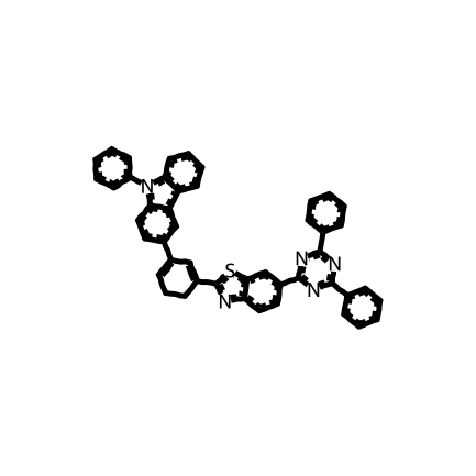 C1=C(c2ccc3c(c2)c2ccccc2n3-c2ccccc2)C=C(c2nc3ccc(-c4nc(-c5ccccc5)nc(-c5ccccc5)n4)cc3s2)CC1